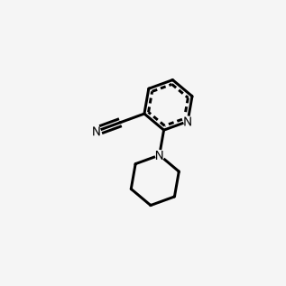 N#Cc1cccnc1N1CCCCC1